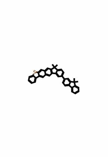 CC1(C)c2ccccc2-c2ccc(-c3ccc4c(c3)-c3cc5cc6c(cc5cc3C4(C)C)sc3ccccc36)cc21